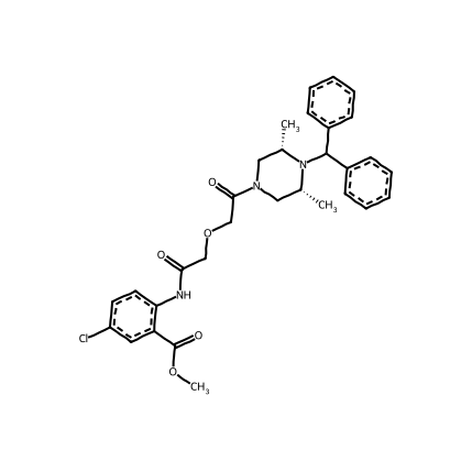 COC(=O)c1cc(Cl)ccc1NC(=O)COCC(=O)N1C[C@@H](C)N(C(c2ccccc2)c2ccccc2)[C@@H](C)C1